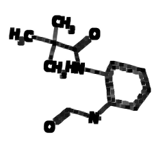 CC(C)(C)C(=O)Nc1ccccc1[N]C=O